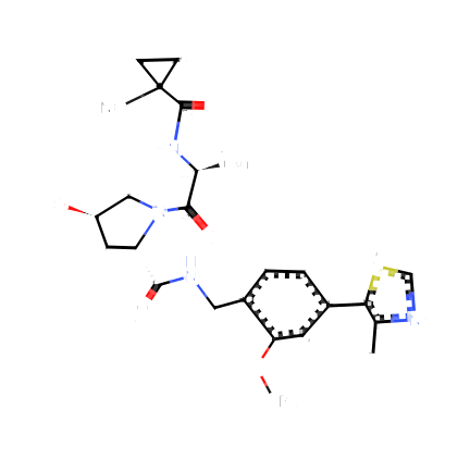 Cc1ncsc1-c1ccc(CNC(=O)[C@@H]2C[C@@H](O)CN2C(=O)[C@@H](NC(=O)C2(C#N)CC2)C(C)(C)C)c(OC(C)(C)C)c1